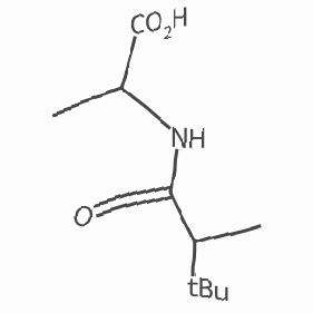 CC(NC(=O)C(C)C(C)(C)C)C(=O)O